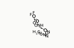 CN1CC[C@@H](n2cnc3cnc4ccc(C#CCNC(=O)c5cccn(Cc6ccc(F)c(F)c6)c5=O)cc4c32)C1